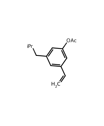 C=Cc1cc(CC(C)C)cc(OC(C)=O)c1